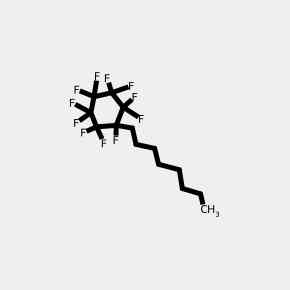 CCCCCCCCC1(F)C(F)(F)C(F)(F)C(F)(F)C(F)(F)C1(F)F